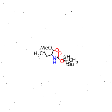 C=CCC(NC(=O)O[Si](C)(C)C(C)(C)C)C(=O)OC